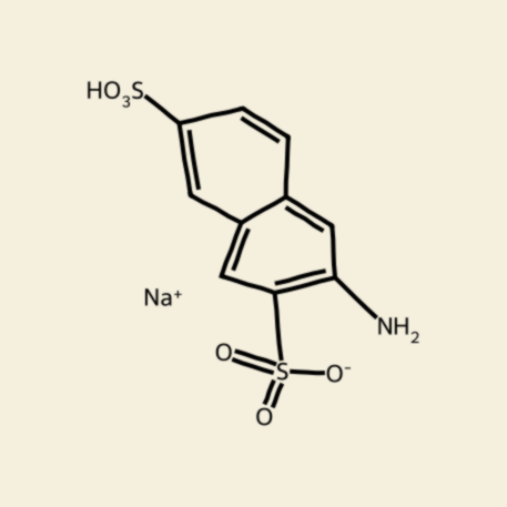 Nc1cc2ccc(S(=O)(=O)O)cc2cc1S(=O)(=O)[O-].[Na+]